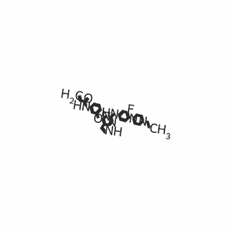 C=CC(=O)Nc1cccc(Oc2nc(Nc3ccc(N4CCN(CCC)CC4)c(F)c3)nc3[nH]ccc23)c1